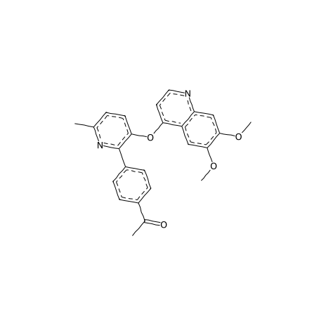 COc1cc2nccc(Oc3ccc(C)nc3-c3ccc(C(C)=O)cc3)c2cc1OC